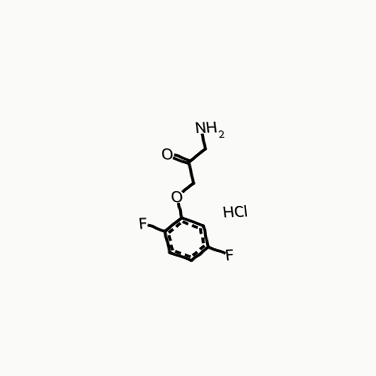 Cl.NCC(=O)COc1cc(F)ccc1F